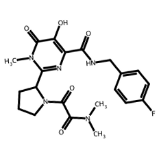 CN(C)C(=O)C(=O)N1CCCC1c1nc(C(=O)NCc2ccc(F)cc2)c(O)c(=O)n1C